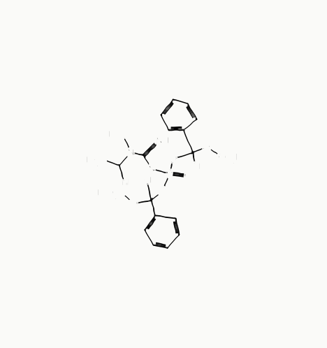 CCCC(C(=O)O)N(C)C(=N)NP(=O)(OC(C)(OC(=O)OCC)c1ccccc1)OC(C)(OC(=O)OCC)c1ccccc1